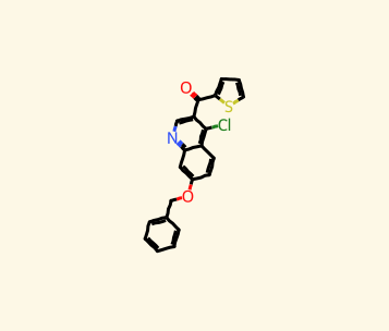 O=C(c1cccs1)c1cnc2cc(OCc3ccccc3)ccc2c1Cl